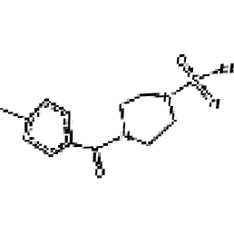 CCS(=O)(=O)N1CCN(C(=O)c2ccc(C)cc2)CC1